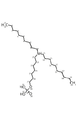 CCCCCCCCCCN(CCCCCCCCCC)CCCCCCCOP(=O)(O)O